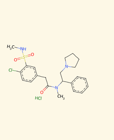 CNS(=O)(=O)c1cc(CC(=O)N(C)C(CN2CCCC2)c2ccccc2)ccc1Cl.Cl